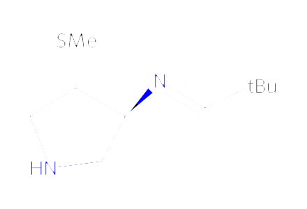 CS[C@H]1CNC[C@@H]1/N=C/C(C)(C)C